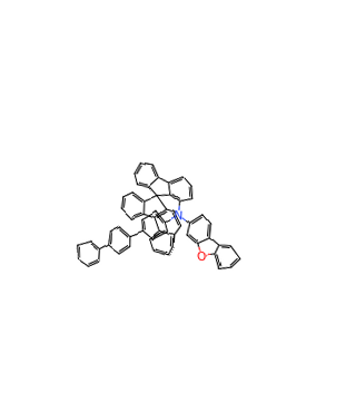 c1ccc(-c2ccc(-c3ccc(N(c4ccc5c(c4)oc4ccccc45)c4cccc5c4C4(c6ccccc6-5)c5ccccc5-c5c4ccc4ccccc54)cc3)cc2)cc1